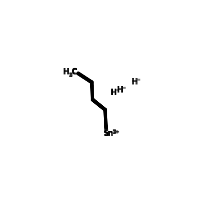 CCC[CH2][Sn+3].[H-].[H-].[H-]